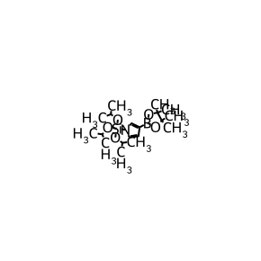 CC(C)O[Si](OC(C)C)(OC(C)C)n1ccc(B2OC(C)(C)C(C)(C)O2)c1